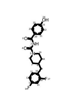 O=C(NC(=O)N1CCC(Cc2ccc(F)cc2F)CC1)c1ccc(O)cc1